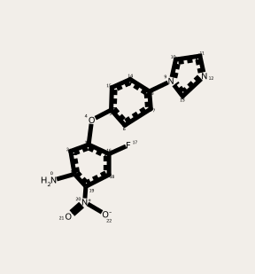 Nc1cc(Oc2ccc(-n3ccnc3)cc2)c(F)cc1[N+](=O)[O-]